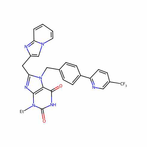 CCn1c(=O)[nH]c(=O)c2c1nc(Cc1cn3ccccc3n1)n2Cc1ccc(-c2ccc(C(F)(F)F)cn2)cc1